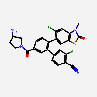 Cn1c(=O)sc2cc(-c3ccc(C(=O)N4CCC(N)C4)cc3-c3ccc(C#N)c(F)c3)c(F)cc21